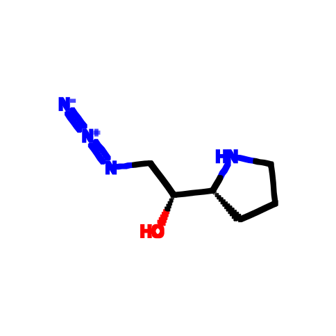 [N-]=[N+]=NC[C@@H](O)[C@H]1CCCN1